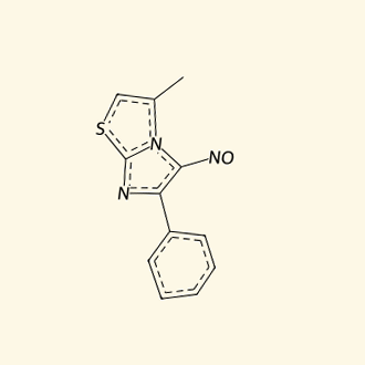 Cc1csc2nc(-c3ccccc3)c(N=O)n12